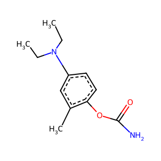 CCN(CC)c1ccc(OC(N)=O)c(C)c1